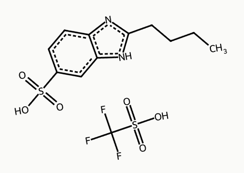 CCCCc1nc2ccc(S(=O)(=O)O)cc2[nH]1.O=S(=O)(O)C(F)(F)F